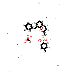 CC(=O)O.Cc1ccc(S(=O)(=O)OCC2CCc3cccc(Cc4ccccc4)c3O2)cc1